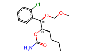 CCCC[C@@H](OC(N)=O)[C@H](OCOC)c1ccccc1Cl